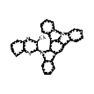 N#Cc1nc2ccccc2nc1-n1c2ccccc2c2cc3c4ccccc4n4c5ccccc5c(c21)c34